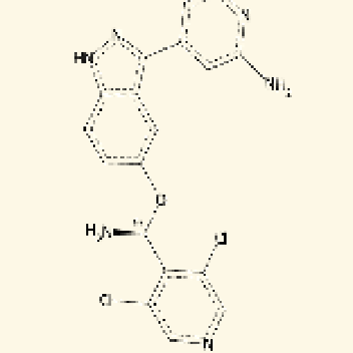 Nc1cc(-c2n[nH]c3ccc(O[C@H](N)c4c(Cl)cncc4Cl)cc23)ccn1